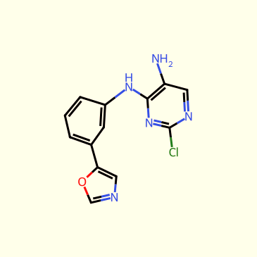 Nc1cnc(Cl)nc1Nc1cccc(-c2cnco2)c1